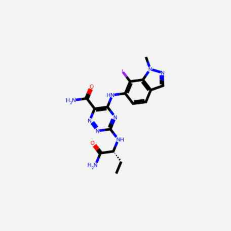 CC[C@@H](Nc1nnc(C(N)=O)c(Nc2ccc3cnn(C)c3c2I)n1)C(N)=O